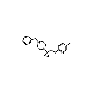 Cc1ccc(N(C)CC2(N3CCN(Cc4ccccc4)CC3)CC2)nc1